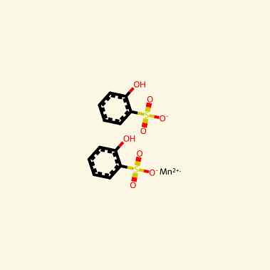 O=S(=O)([O-])c1ccccc1O.O=S(=O)([O-])c1ccccc1O.[Mn+2]